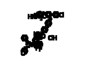 CC1(CN2CCC3(CC2)CNC3)CCC(c2ccc(Cl)cc2)=C(CN2CCN(c3ccc(C(=O)NS(=O)(=O)c4ccc(N[C@H](CCN5CCOCC5)CSc5ccccc5)c(S(=O)(=O)C(F)(F)F)c4)cc3)CC2)C1.Cl